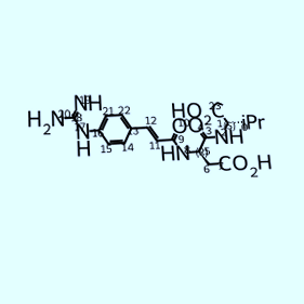 CC(C)[C@H](NC(=O)[C@@H](CC(=O)O)NC(=O)C=Cc1ccc(NC(=N)N)cc1)C(=O)O